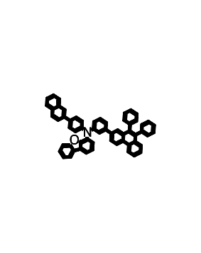 c1ccc(-c2c(-c3ccccc3)c3cc(-c4cccc(N(c5ccc(-c6ccc7ccccc7c6)cc5)c5cccc6c5oc5ccccc56)c4)ccc3c3ccccc23)cc1